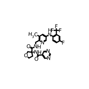 Cc1cc(Nc2ccc(F)cc2C(F)(F)F)cnc1CNC(=O)[C@]1(NC(=O)c2cncnc2)CCOC1